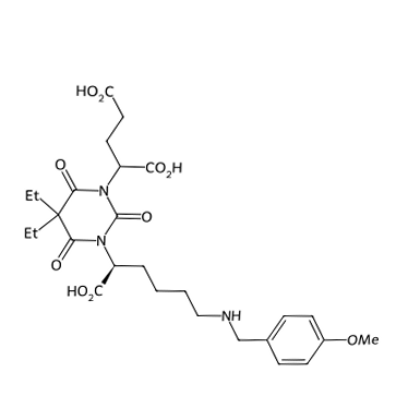 CCC1(CC)C(=O)N(C(CCC(=O)O)C(=O)O)C(=O)N([C@@H](CCCCNCc2ccc(OC)cc2)C(=O)O)C1=O